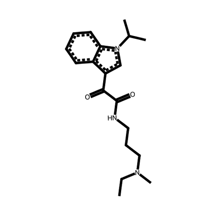 CCN(C)CCCNC(=O)C(=O)c1cn(C(C)C)c2ccccc12